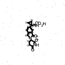 O=C(O)NC1(c2ccc3c(c2)C(=O)N([C@H]2CCC(=O)NC2=O)C3)CC1